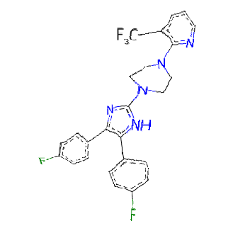 Fc1ccc(-c2nc(N3CCN(c4ncccc4C(F)(F)F)CC3)[nH]c2-c2ccc(F)cc2)cc1